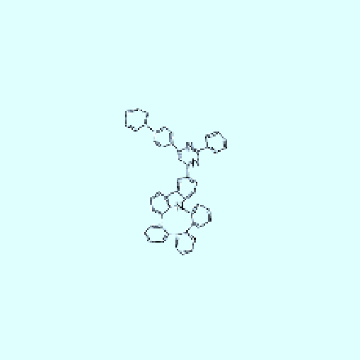 c1ccc(-c2ccc(-c3cc(-c4ccc5c(c4)c4cccc6c7ccccc7c7ccccc7c7ccccc7n5c64)nc(-c4ccccc4)n3)cc2)cc1